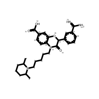 CC1CCCC(C)N1CCCCCN1C(=O)C(c2cccc(C(=N)N)c2)Oc2cc(C(=O)O)ccc21